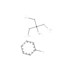 CC(=O)c1ccccc1.NC(CO)(CO)CO